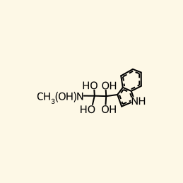 CN(O)C(O)(O)C(O)(O)c1c[nH]c2ccccc12